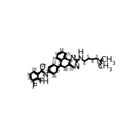 CN(C)CCCCNc1ncc2c(n1)-c1ccccc1C(c1ccc(NC(=O)c3cccc(F)c3F)cc1)C2